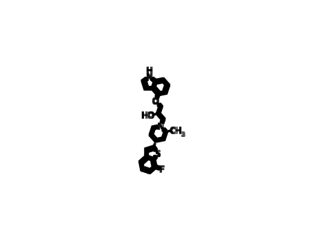 C[C@@H]1C[C@H](c2cc3cccc(F)c3s2)CCN1C[C@H](O)COc1cccc2[nH]ccc12